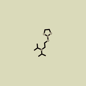 CC(C)N(CCOB1OCCO1)C(C)C